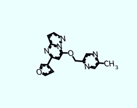 Cc1cnc(COc2cc(-c3ccoc3)nc3ccnn23)cn1